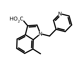 Cc1cccc2c(C(=O)O)cn(Cc3cccnc3)c12